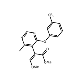 COC=C(C(=O)OC)c1c(C)ncnc1Oc1cccc(C(F)(F)F)c1